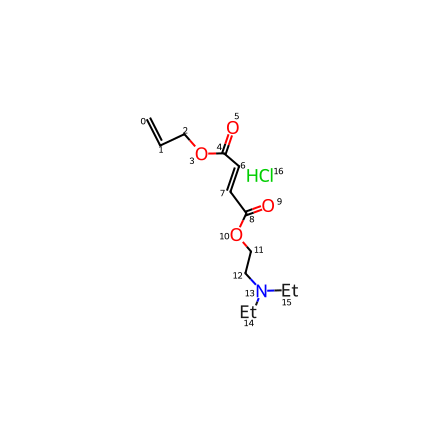 C=CCOC(=O)C=CC(=O)OCCN(CC)CC.Cl